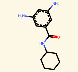 Nc1cc(N)cc(C(=O)NC2CCCCC2)c1